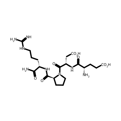 N=C(N)NCCC[C@H](NC(=O)[C@@H]1CCCN1C(=O)[C@H](CC(=O)O)NC(=O)[C@@H](N)CCC(=O)O)C(N)=O